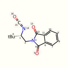 CC(C)(C)[C@@H](CN1C(=O)c2ccccc2C1=O)N=C=O